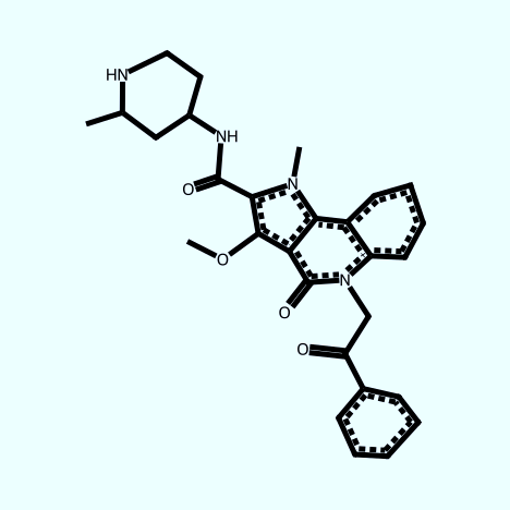 COc1c(C(=O)NC2CCNC(C)C2)n(C)c2c1c(=O)n(CC(=O)c1ccccc1)c1ccccc21